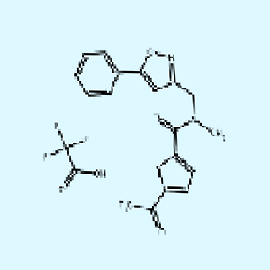 CN(Cc1cc(-c2ccccc2)on1)C(=O)c1ccc(C(=O)C(F)(F)F)s1.O=C(O)C(F)(F)F